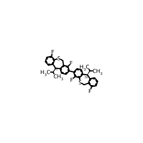 CC(C)[C@@H]1c2ccc(-c3ccc4c(c3F)SCc3c(F)cccc3[C@@H]4C(C)C)c(F)c2CSc2c(F)cccc21